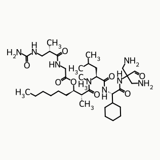 CCCCCC[C@@H](OC(=O)CNC(=O)[C@@H](C)CNC(N)=O)[C@@H](C)C(=O)N(C)[C@@H](CC(C)C)C(=O)N[C@H](C(=O)NC(C=O)(CN)CN)C1CCCCC1